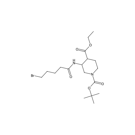 CCOC(=O)C1CCN(C(=O)OC(C)(C)C)CC1NC(=O)CCCCBr